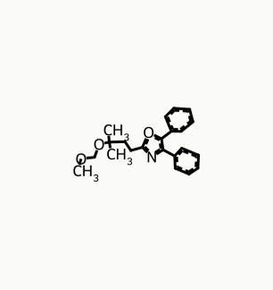 COCOC(C)(C)CCc1nc(-c2ccccc2)c(-c2ccccc2)o1